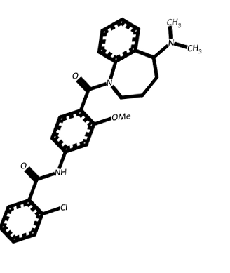 COc1cc(NC(=O)c2ccccc2Cl)ccc1C(=O)N1CCCC(N(C)C)c2ccccc21